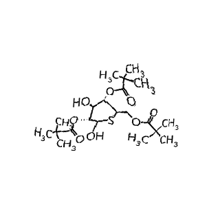 CC(C)(C)C(=O)OC[C@H]1SC(O)[C@H](OC(=O)C(C)(C)C)[C@@H](O)[C@@H]1OC(=O)C(C)(C)C